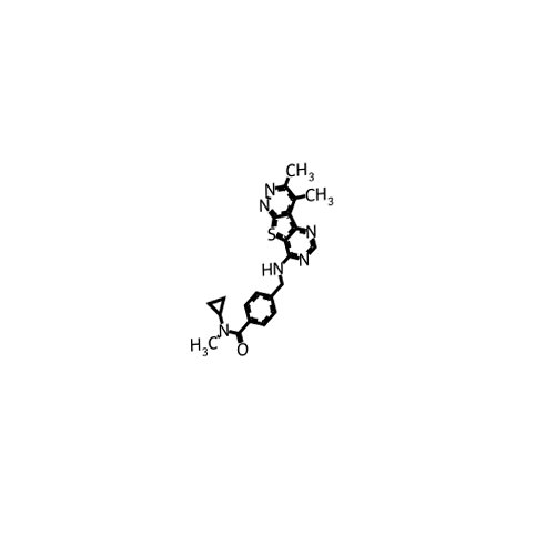 Cc1nnc2sc3c(NCc4ccc(C(=O)N(C)C5CC5)cc4)ncnc3c2c1C